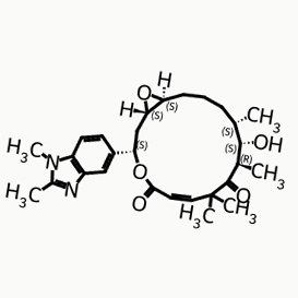 Cc1nc2cc([C@@H]3C[C@@H]4O[C@H]4CCC[C@H](C)[C@H](O)[C@@H](C)C(=O)C(C)(C)C=CC(=O)O3)ccc2n1C